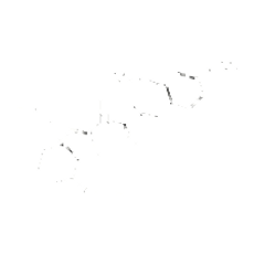 CCOC(=O)c1c(NC(=O)NCc2ccc(OC)cc2OC)sc2c1CCCC2C(=O)OCC